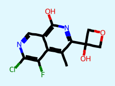 Cc1c(C2(O)COC2)nc(O)c2cnc(Cl)c(F)c12